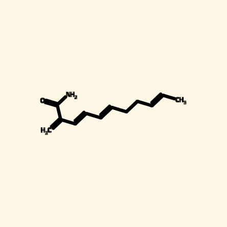 C=C(C=CC=CCCC=CC)C(N)=O